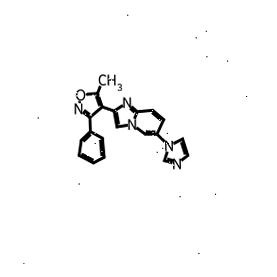 Cc1onc(-c2ccccc2)c1-c1cn2cc(-n3ccnc3)ccc2n1